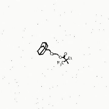 CCC(C)(C(=O)OCOCC12CC3CC(CC(C3)C1)C2)C(F)(F)F